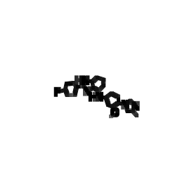 COc1cc(Nc2cccc3[nH]c(-c4ccc(F)cc4)nc23)ccc1-n1cnc(C)c1